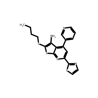 CCCCSc1sc2nc(-c3nccs3)cc(-c3cccnc3)c2c1N